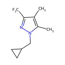 Cc1c(C(F)(F)F)nn(CC2CC2)c1C